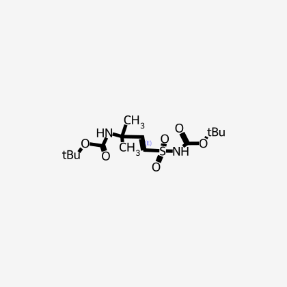 CC(C)(/C=C/S(=O)(=O)NC(=O)OC(C)(C)C)NC(=O)OC(C)(C)C